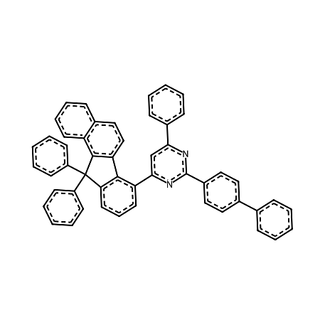 c1ccc(-c2ccc(-c3nc(-c4ccccc4)cc(-c4cccc5c4-c4ccc6ccccc6c4C5(c4ccccc4)c4ccccc4)n3)cc2)cc1